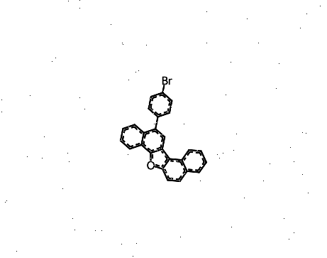 Brc1ccc(-c2cc3c(oc4ccc5ccccc5c43)c3ccccc23)cc1